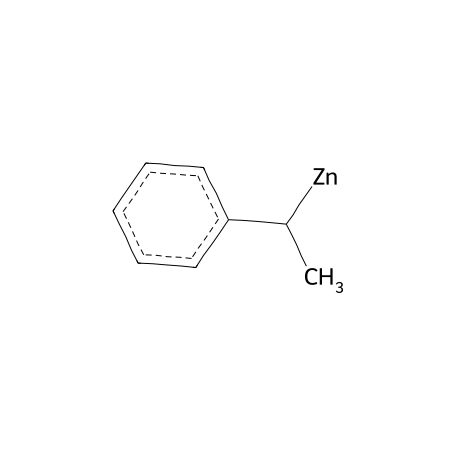 C[CH]([Zn])c1ccccc1